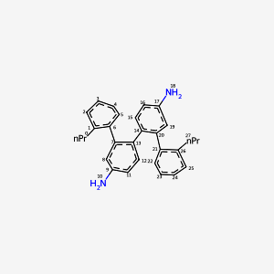 CCCc1ccccc1-c1cc(N)ccc1-c1ccc(N)cc1-c1ccccc1CCC